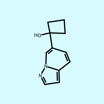 OC1(c2ccc3ccnn3c2)CCC1